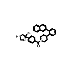 CC(C)C1(c2ccc(C(=O)N3CCC(c4ccccc4-c4ccc5ccccc5c4)CC3)cc2)CNCN1